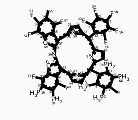 Cc1c(P)c(P)c(-c2c3nc(c(-c4c(F)c(F)c(F)c(F)c4F)c4ccc(c5c(nc6oc7c(F)c(P)c(P)c(I)c7c6c6ccc2[nH]6)oc2c(F)c(F)c(C)c(F)c25)n4I)C=C3)c(P)c1P